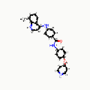 Cc1cccc2c(Nc3ccc(C(=O)Nc4ccc(Oc5ccncc5)cc4)cc3)ccnc12